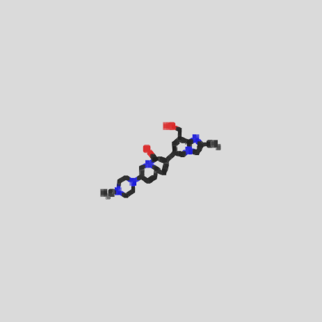 Cc1cn2cc(C3=C\C(=O)N4C=C(N5CCN(C)CC5)C=C\C4=C/C=C/3)cc(CO)c2n1